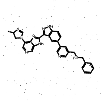 CC1CN(c2cncc3[nH]c(-c4n[nH]c5ccc(-c6cncc(CNCc7ccccc7)c6)cc45)nc23)C=N1